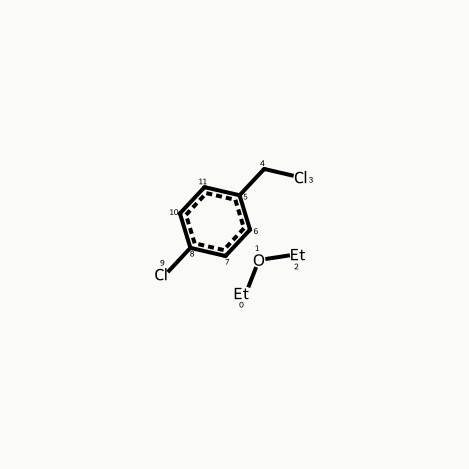 CCOCC.ClCc1ccc(Cl)cc1